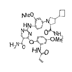 C=CC(=O)Nc1cc(OC)ccc1Oc1nc(Nc2ccc(N3CC(C4CCC4)C[C@H]3C(N)=O)cc2OC)ncc1C(N)=O